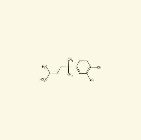 CCC(C)c1cc(C(C)(C)CCC(C)C(=O)O)ccc1O